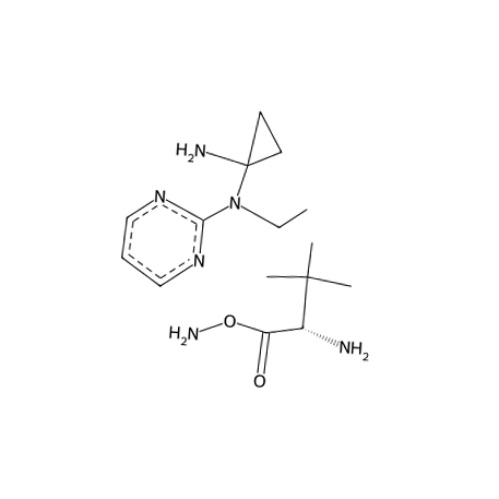 CC(C)(C)[C@H](N)C(=O)ON.CCN(c1ncccn1)C1(N)CC1